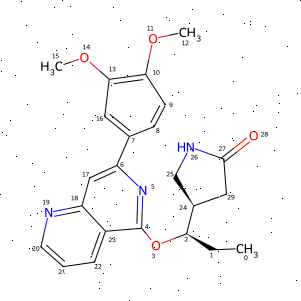 CC[C@@H](Oc1nc(-c2ccc(OC)c(OC)c2)cc2ncccc12)[C@H]1CNC(=O)C1